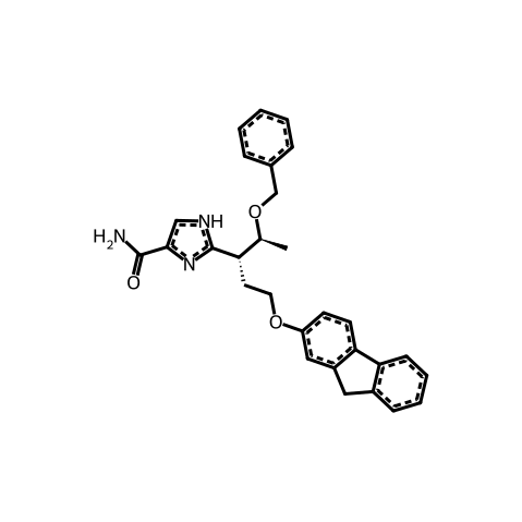 C[C@H](OCc1ccccc1)[C@H](CCOc1ccc2c(c1)Cc1ccccc1-2)c1nc(C(N)=O)c[nH]1